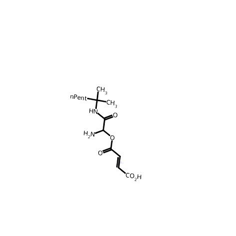 CCCCCC(C)(C)NC(=O)C(N)OC(=O)/C=C/C(=O)O